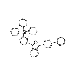 c1ccc(-c2ccc(-c3oc(-c4cccc5c4-c4ccccc4[Si]5(c4ccccc4)c4ccccc4)c4ccccc34)cc2)cc1